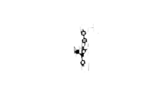 Cc1ccc(-c2ccc(OCC3COC(CCc4ccc(Cl)cc4)(Cn4ccnc4)O3)cc2)cc1